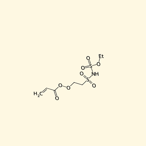 C=CC(=O)OOCCS(=O)(=O)NS(=O)(=O)OCC